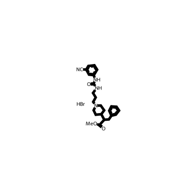 Br.COC(=O)C(Cc1ccccc1)C1CCN(CCCNC(=O)Nc2cccc(C#N)c2)CC1